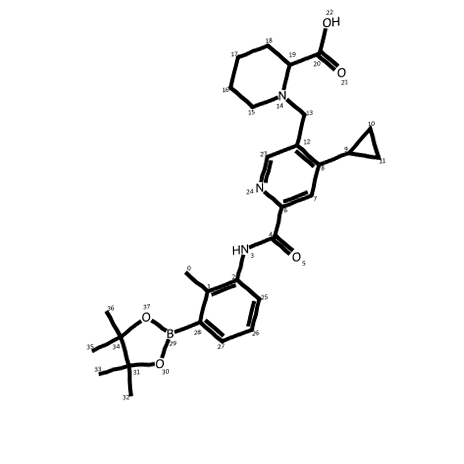 Cc1c(NC(=O)c2cc(C3CC3)c(CN3CCCCC3C(=O)O)cn2)cccc1B1OC(C)(C)C(C)(C)O1